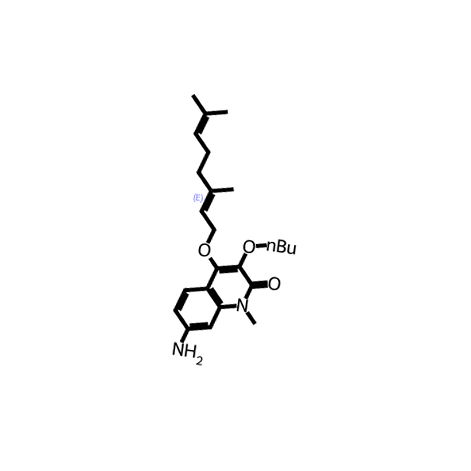 CCCCOc1c(OC/C=C(\C)CCC=C(C)C)c2ccc(N)cc2n(C)c1=O